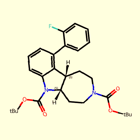 CC(C)(C)OC(=O)N1CC[C@H]2c3c(-c4ccccc4F)cccc3N(C(=O)OC(C)(C)C)[C@H]2CC1